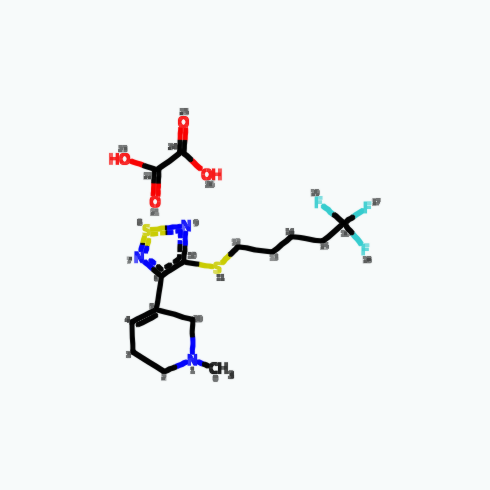 CN1CCC=C(c2nsnc2SCCCCC(F)(F)F)C1.O=C(O)C(=O)O